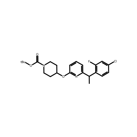 CC(c1cccc(OC2CCN(C(=O)OC(C)(C)C)CC2)n1)c1ccc(Cl)cc1F